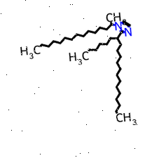 CCCCCCCCCCCCCC(CCCCCC)c1nccn1C(C)CCCCCCCCCCCCC